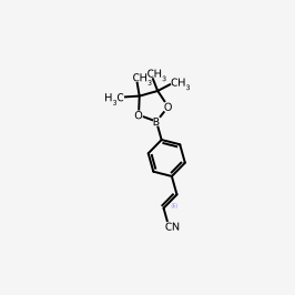 CC1(C)OB(c2ccc(/C=C/C#N)cc2)OC1(C)C